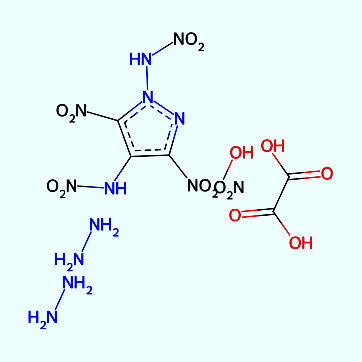 NN.NN.O=C(O)C(=O)O.O=[N+]([O-])Nc1c([N+](=O)[O-])nn(N[N+](=O)[O-])c1[N+](=O)[O-].O=[N+]([O-])O